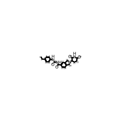 CCc1ccc(NC(=O)NC(=O)c2ccc3c(c2)CN(C2CCC(=O)NC2=O)C3)cc1